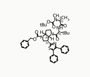 C[C@@H](C(=O)N[C@H](C(=O)N1CC[C@@H]2[C@H]1[C@@H](c1nc(-c3ccccc3)c(-c3ccccc3)s1)CN2C(=O)OCc1ccccc1)C(C)(C)C)N(C)C(=O)OC(C)(C)C